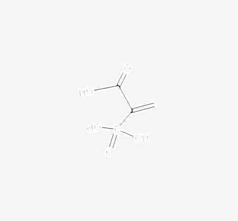 C=C(C(=O)O)P(=O)(O)O